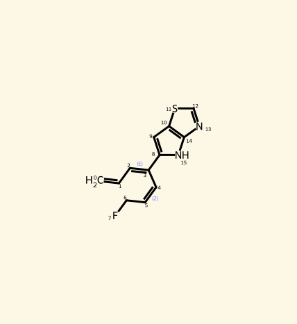 C=C/C=C(\C=C/CF)c1cc2scnc2[nH]1